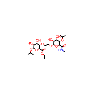 CCOC(=O)C1O[C@H](OC(C)C)[C@@H](O)[C@@H](O)[C@@H]1OCCO[C@H]1OC(C(=O)NC)[C@@H](OC(C)C)[C@H](O)[C@@H]1O